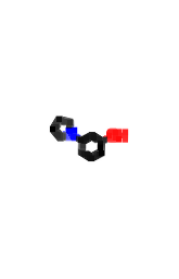 Oc1cccc(-n2cccc2)c1